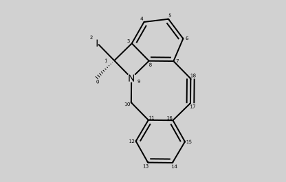 C[C@]1(I)c2cccc3c2N1Cc1ccccc1C#C3